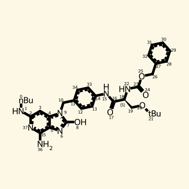 CCCCNc1cc2c(nc(O)n2Cc2ccc(NC(=O)[C@H](COC(C)(C)C)NC(=O)OCc3ccccc3)cc2)c(N)n1